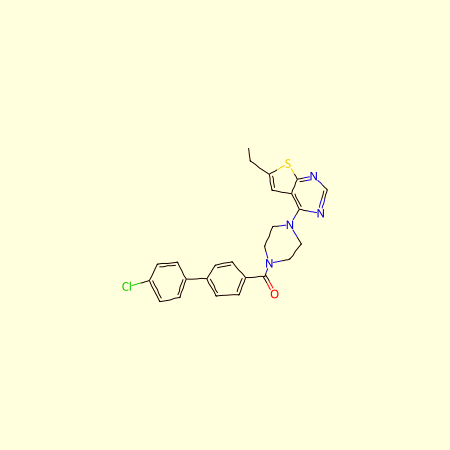 CCc1cc2c(N3CCN(C(=O)c4ccc(-c5ccc(Cl)cc5)cc4)CC3)ncnc2s1